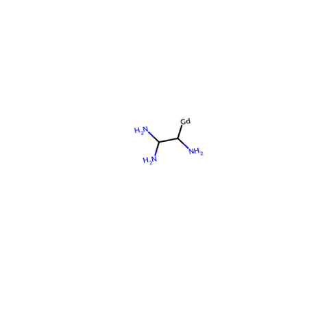 NC(N)[CH](N)[Gd]